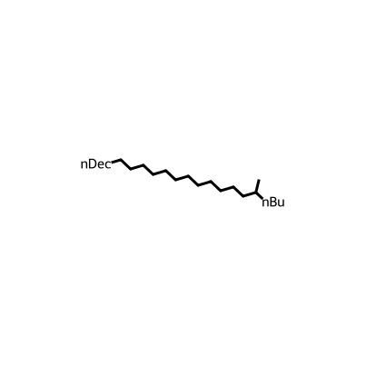 [CH2]CCCCCCCCCCCCCCCCCCCCCC(C)CCC[CH2]